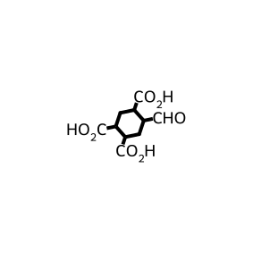 O=CC1CC(C(=O)O)C(C(=O)O)CC1C(=O)O